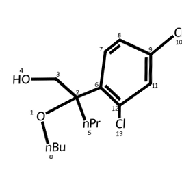 CCCCOC(CO)(CCC)c1ccc(Cl)cc1Cl